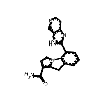 NC(=O)c1ccn2c1[CH]c1cccc(-c3nc4ccncc4[nH]3)c1-2